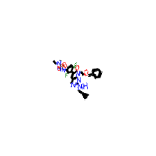 CCN(C)S(=O)(=O)Nc1ccc(F)c(-c2cc3cnc(NCC4CC4)nc3n(CCOCc3ccccc3)c2=O)c1F